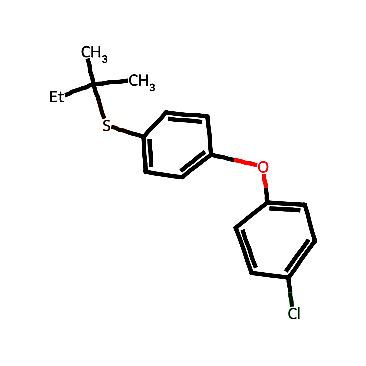 CCC(C)(C)Sc1ccc(Oc2ccc(Cl)cc2)cc1